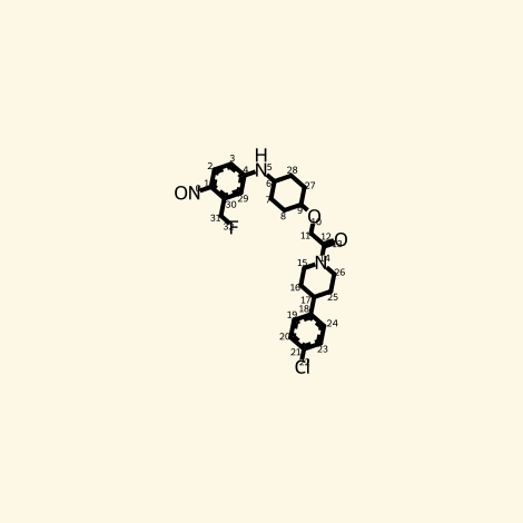 O=Nc1ccc(NC2CCC(OCC(=O)N3CCC(c4ccc(Cl)cc4)CC3)CC2)cc1CF